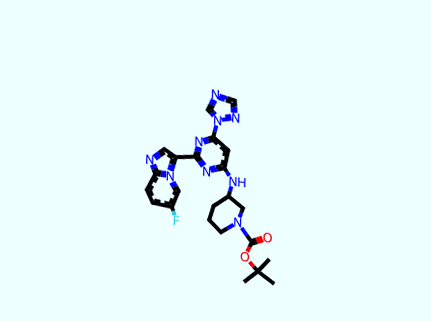 CC(C)(C)OC(=O)N1CCCC(Nc2cc(-n3cncn3)nc(-c3cnc4ccc(F)cn34)n2)C1